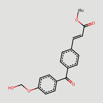 CC(C)(C)OC(=O)C=Cc1ccc(C(=O)c2ccc(OCO)cc2)cc1